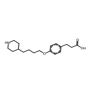 O=C(O)CCc1ccc(OCCCCC2CCNCC2)cc1